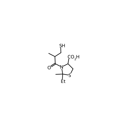 CCC1(C)SCC(C(=O)O)N1C(=O)C(C)CS